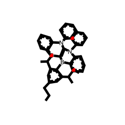 CCCc1cc(C(C)CC)c(B2C3=C(N(c4ccccc4)c4ccccc4O3)N(c3ccccc3)c3ccccc32)c(C(C)CC)c1